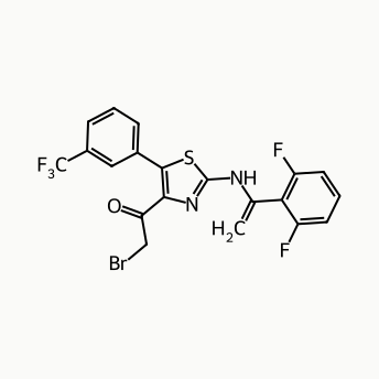 C=C(Nc1nc(C(=O)CBr)c(-c2cccc(C(F)(F)F)c2)s1)c1c(F)cccc1F